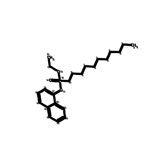 CCCCCCCCCCCP(=O)(OCC)Oc1cccc2ccccc12